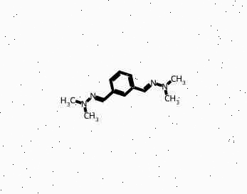 CN(C)/N=C/c1cccc(/C=N/N(C)C)c1